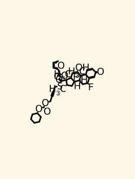 C[C@@H]1C[C@H]2[C@@H]3C[C@H](F)C4=CC(=O)C=C[C@]4(C)[C@@]3(F)[C@@H](O)C[C@]2(C)[C@@]1(OC(=O)c1ccco1)C(=O)SCC#CCOC(=O)OC1CCCCC1